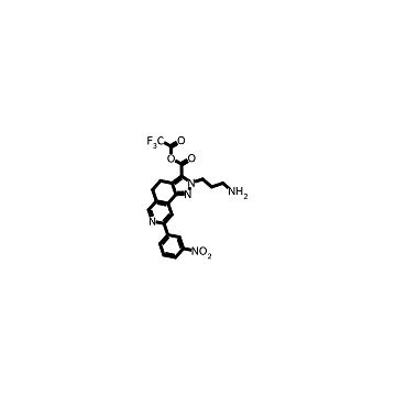 NCCCn1nc2c(c1C(=O)OC(=O)C(F)(F)F)CCc1cnc(-c3cccc([N+](=O)[O-])c3)cc1-2